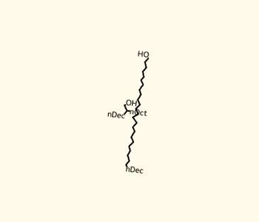 CCCCCCCCCCC(CO)CCCCCCCC.CCCCCCCCCCCCCCCCCCCCCCCCCCCCCCCCCCO